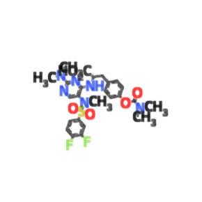 CN(C)C(=O)Oc1ccc(CC(Nc2nc(N(C)C)ncc2N(C)S(=O)(=O)c2ccc(F)c(F)c2)C(=O)O)cc1